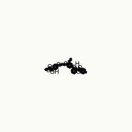 CCCc1cc(Oc2ccccc2NS(=O)(=O)c2ccc(C)cc2)ccc1OCCCOc1ccc(C(O)C(=O)OCC)cc1